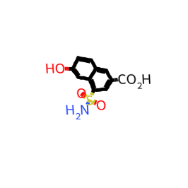 NS(=O)(=O)c1cc(C(=O)O)cc2ccc(O)cc12